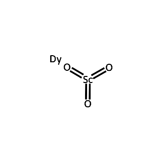 [Dy].[O]=[Sc](=[O])=[O]